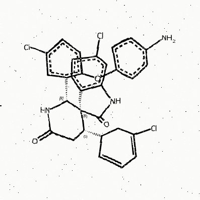 Nc1ccc(Oc2ccc(Cl)cc2[C@H]2NC(=O)C[C@@H](C3C=CC=C(Cl)C3)[C@]23C(=O)Nc2cc(Cl)ccc23)cc1